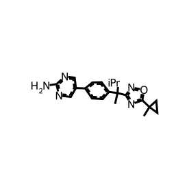 CC(C)C(C)(c1ccc(-c2cnc(N)nc2)cc1)c1noc(C2(C)CC2)n1